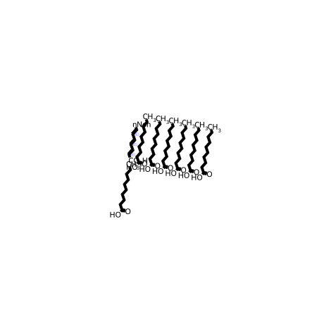 CCCCCCCCC/C=C/C=C/C=C/C(=O)O.CCCCCCCCCC(=O)O.CCCCCCCCCC(=O)O.CCCCCCCCCC(=O)O.CCCCCCCCCC(=O)O.CCCCCCCCCC(=O)O.CCCCCCCCCC(=O)O.CCCCCCCCCC(=O)O